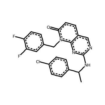 CC(Nc1ncc2ccc(=O)n(Cc3ccc(F)c(F)c3)c2n1)c1ccc(Cl)cc1